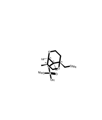 COC[C@@]12CCO[C@H]([C@H](C)CO1)[C@@H]2OP(=O)(O)OC